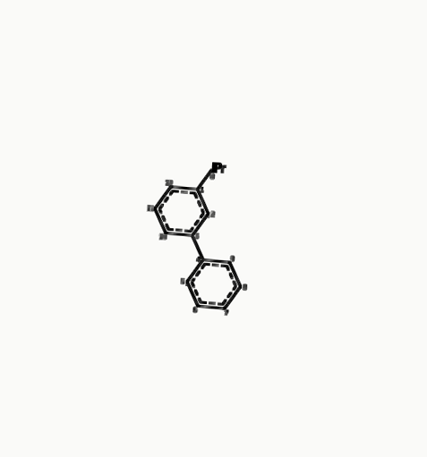 CC(C)c1[c]c(-c2[c]cccc2)ccc1